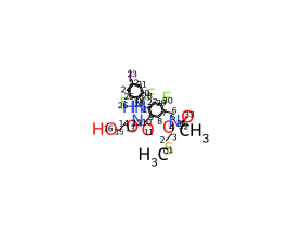 CSCCON(Cc1cc(C(=O)NOCCO)c(Nc2ccc(I)cc2F)c(F)c1F)C(C)=O